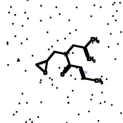 C=C(C)CN(CC1CO1)C(=O)/C=C/C